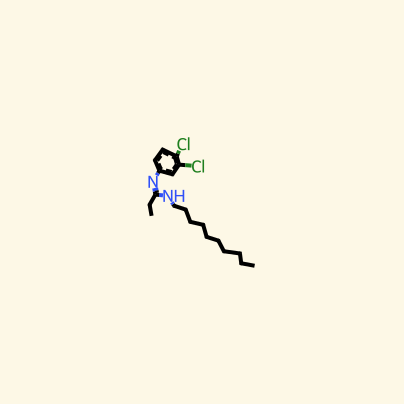 CCCCCCCCCCN/C(CC)=N\c1ccc(Cl)c(Cl)c1